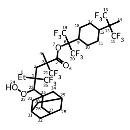 CCC(CC(C)(C(=O)OC(C1CCC(C(C)(C(F)(F)F)C(F)(F)F)CC1)(C(F)(F)F)C(F)(F)F)C(F)(F)F)(C(OO)C12CC3CC(CC(C3)C1)C2)C(F)(F)F